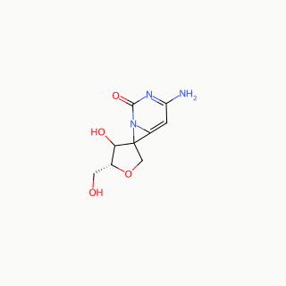 Nc1cc2n(c(=O)n1)C21CO[C@H](CO)C1O